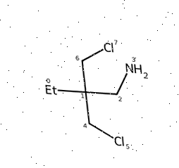 CCC(CN)(CCl)CCl